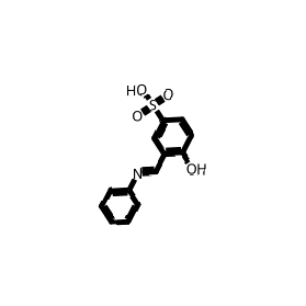 O=S(=O)(O)c1ccc(O)c(C=Nc2ccccc2)c1